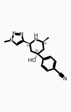 C[C@H]1C[C@@](O)(c2ccc(C#N)cc2)C[C@@H](c2cn(C)nn2)N1